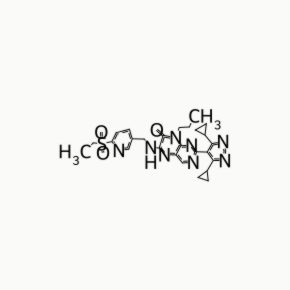 CCCn1c(=O)c(NCc2ccc(S(=O)(=O)CC)nc2)nc2cnc(-c3c(C4CC4)ncnc3C3CC3)nc21